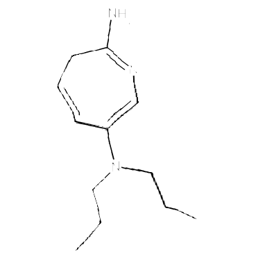 CCCN(CCC)C1=CN=C(N)CC=C1